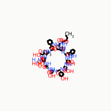 CCCC1OC1C(=O)N[C@@H](CO)C(=O)N[C@@H]1C(=O)N[C@H](Cc2c[nH]c3ccccc23)C(=O)N[C@@H](CC(=O)O)C(=O)N[C@@H](CC(=O)O)C(=O)N[C@H](c2ccc(O)cc2)C(=O)N[C@@H](CC(=O)O)C(=O)NCC(=O)N[C@H]([C@H](OP(=O)(O)O)C(N)=O)C(=O)N[C@@H](C(C)CC(=O)O)C(=O)N[C@@H](Cc2c[nH]c3ccccc23)C(=O)O[C@@H]1C